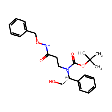 CC(C)(C)OC(=O)N(CCC(=O)NOCc1ccccc1)[C@@H](CO)c1ccccc1